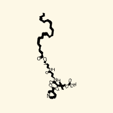 CC/C=C\C/C=C\C/C=C\C/C=C\C/C=C\CCCC(=O)OSCCNC(=O)CCNC(=O)[C@H](OC(=O)c1cccnc1)C(C)(C)COC(=O)O